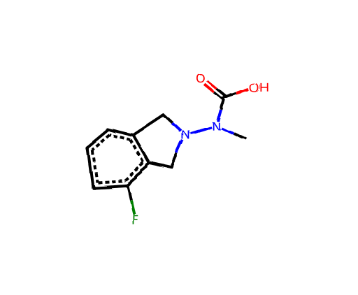 CN(C(=O)O)N1Cc2cccc(F)c2C1